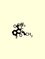 C=CCn1c(C)c(C(=O)O)c2cccc(F)c2c1=O